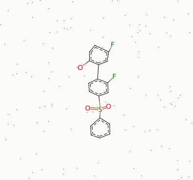 [O]c1ccc(F)cc1-c1ccc(S(=O)(=O)c2ccccc2)cc1F